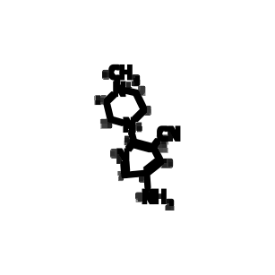 CN1CCN(c2ncc(N)cc2C#N)CC1